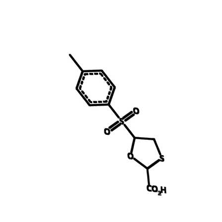 Cc1ccc(S(=O)(=O)C2CSC(C(=O)O)O2)cc1